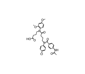 COc1ccc(N(CCCC(=O)O)C(=O)CCCN(C(=O)c2ccc(NC(C)=O)cc2)c2ccc(Cl)cc2)c(OC)c1